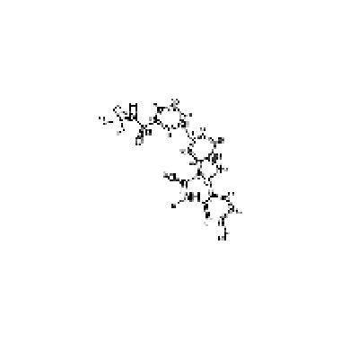 CNC(=O)c1c(-c2ccc(F)cc2)nn2ccc(-c3cccc(C(=O)NC(C)(C)C)c3)cc12